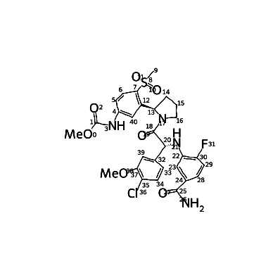 COC(=O)Nc1ccc(S(C)(=O)=O)c([C@H]2CCCN2C(=O)[C@H](Nc2cc(C(N)=O)ccc2F)c2ccc(Cl)c(OC)c2)c1